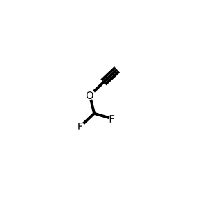 C#COC(F)F